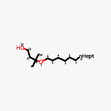 CCCCCCCCCCCCCOC(C)(C)CCO